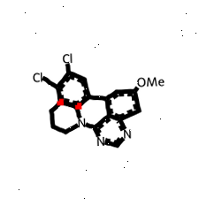 COc1cc(-c2ccc(Cl)c(Cl)c2)c2c(N3CCCCC3)ncnc2c1